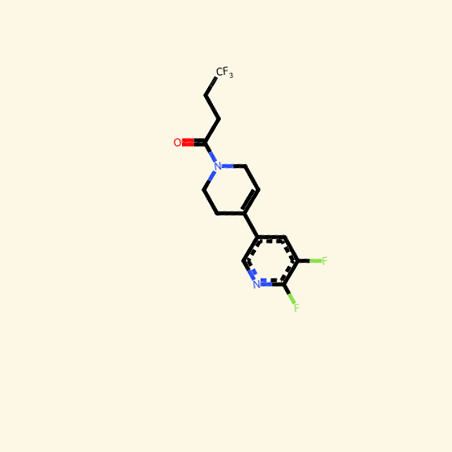 O=C(CCC(F)(F)F)N1CC=C(c2cnc(F)c(F)c2)CC1